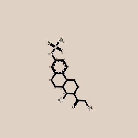 CCC(=O)C1CCC2c3ccc(OS(N)(=O)=O)cc3CCC2C1C